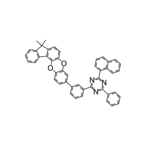 CC1(C)c2ccccc2-c2c1ccc1c2Oc2ccc(-c3cccc(-c4nc(-c5ccccc5)nc(-c5cccc6ccccc56)n4)c3)cc2O1